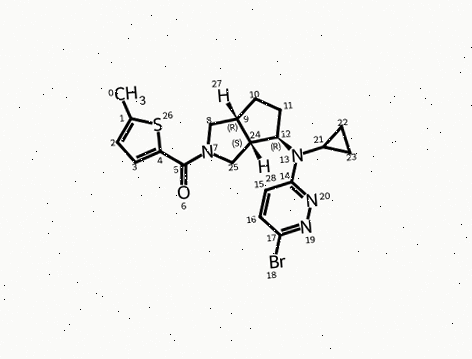 Cc1ccc(C(=O)N2C[C@@H]3CC[C@@H](N(c4ccc(Br)nn4)C4CC4)[C@@H]3C2)s1